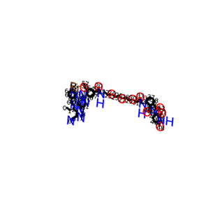 CC[C@@H]1c2c(C#N)ncn2-c2cnc(Nc3ccc(C(=O)NCCOCCOCCOCC(=O)Nc4cccc5c4C(=O)N(C4CCC(=O)NC4=O)C5=O)cc3OC)nc2N1Cc1ccc(Br)cc1